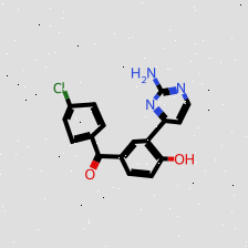 Nc1nccc(-c2cc(C(=O)c3ccc(Cl)cc3)ccc2O)n1